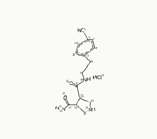 Cl.N#Cc1ccc(CCNC(=O)C2CNCC2C(N)=O)cc1